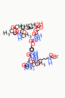 CC(=O)O[C@@H](C)/C=C\C(=O)N[C@@H]1C[C@H](C)[C@H](C/C=C(C)/C=C/[C@H]2O[C@H](CC(=O)NCNC(=O)OCc3ccc(NC(=O)[C@H](CCCNC(N)=O)NC(=O)[C@@H](NC(=O)CCCCCNC(=O)CBr)C(C)C)cc3)C[C@@]3(CO3)[C@@H]2O)O[C@@H]1C